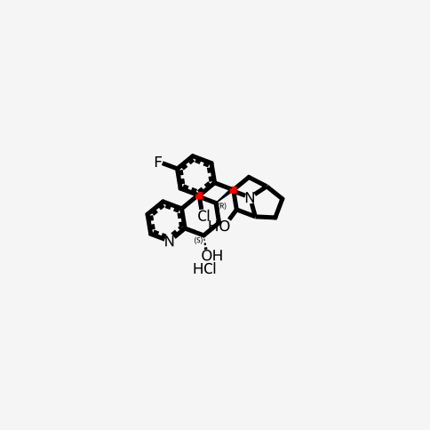 Cl.OC1C(c2ccc(F)cc2Cl)CC2CCC1N2C[C@@H]1Cc2cccnc2[C@@H](O)C1